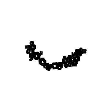 CCN(C)S(=O)(=O)Nc1ccc(F)c(Oc2ccc3ncn([C@H]4COC5(CCN(C(=O)CC6(O)CCN(c7cc8c(cc7F)c(N7CCC(=O)NC7=O)nn8C)CC6)CC5)C4)c(=O)c3c2OC)c1C#N